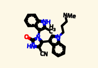 CNCCCn1cc(-c2c(C#N)[nH]c(=O)n2-c2c(C)[nH]c3ccccc23)c2ccccc21